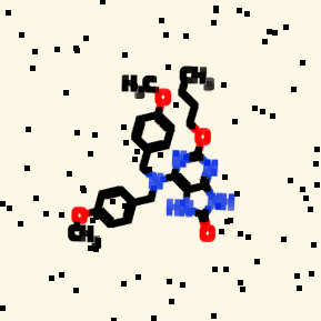 CCCCOc1nc(N(Cc2ccc(OC)cc2)Cc2ccc(OC)cc2)c2[nH]c(=O)[nH]c2n1